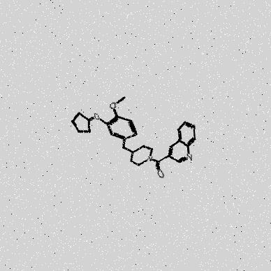 COc1ccc(CC2CCN(C(=O)c3cnc4ccccc4c3)CC2)cc1OC1CCCC1